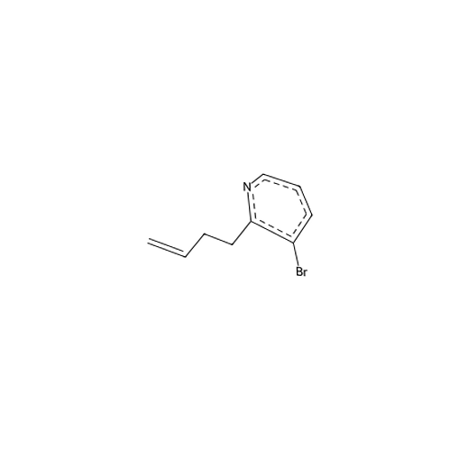 C=CCCc1ncccc1Br